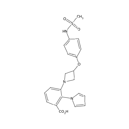 CS(=O)(=O)Nc1ccc(OC2CN(c3cccc(C(=O)O)c3-n3cccc3)C2)cc1